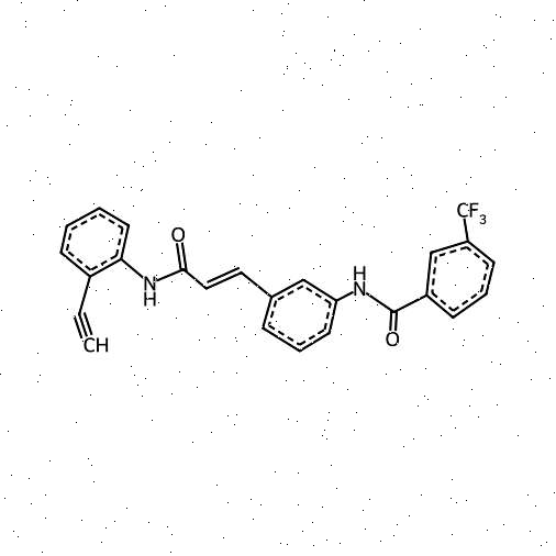 C#Cc1ccccc1NC(=O)C=Cc1cccc(NC(=O)c2cccc(C(F)(F)F)c2)c1